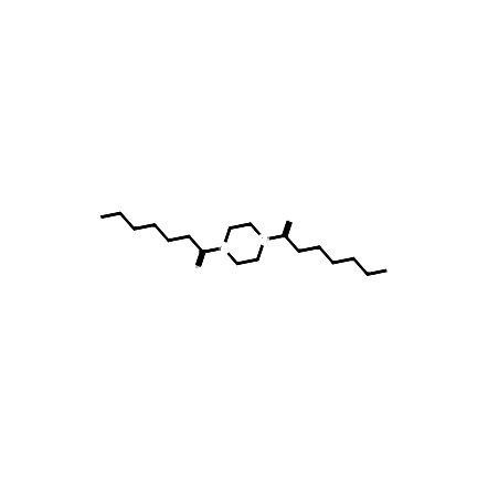 CCCCCCC(=O)N1CCN(C(=O)CCCCCC)CC1